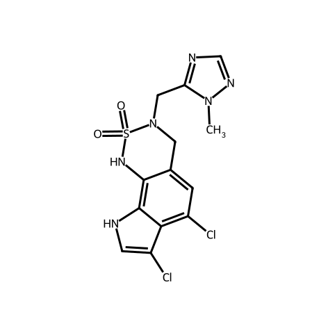 Cn1ncnc1CN1Cc2cc(Cl)c3c(Cl)c[nH]c3c2NS1(=O)=O